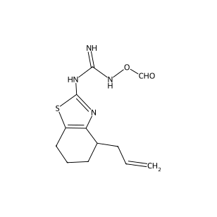 C=CCC1CCCc2sc(NC(=N)NOC=O)nc21